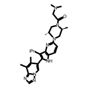 Cc1c(-c2[nH]c3ccc(N4C[C@H](C)N(C(=O)CN(C)C)C[C@H]4C)nc3c2C(C)C)cn2ncnc2c1C